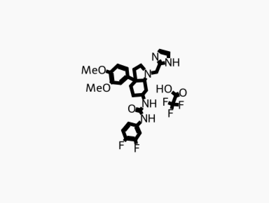 COc1ccc(C23CCC(NC(=O)Nc4ccc(F)c(F)c4)CC2N(Cc2ncc[nH]2)CC3)cc1OC.O=C(O)C(F)(F)F